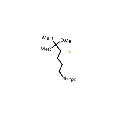 CCCCCCCCCCCC(OC)(OC)OC.F